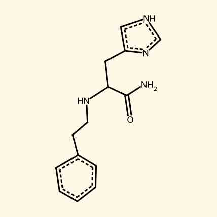 NC(=O)C(Cc1c[nH]cn1)NCCc1ccccc1